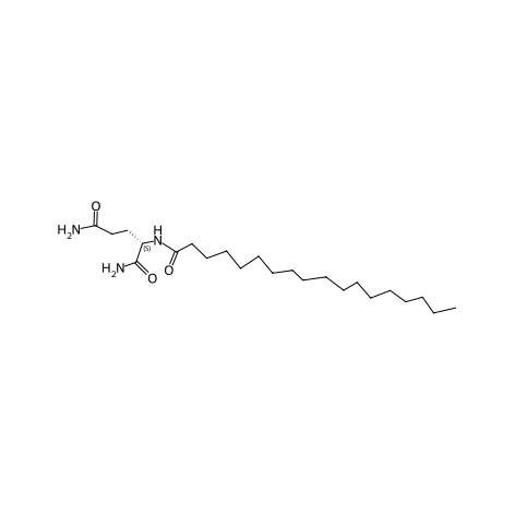 CCCCCCCCCCCCCCCCCC(=O)N[C@@H](CCC(N)=O)C(N)=O